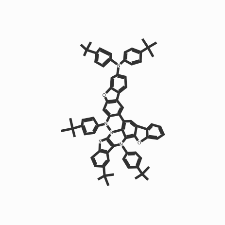 CC(C)(C)c1ccc(N2B3c4sc5ccc(C(C)(C)C)cc5c4N(c4ccc(C(C)(C)C)cc4)c4c3c(cc3c4oc4ccccc43)-c3cc4c(cc32)oc2cc(N(c3ccc(C(C)(C)C)cc3)c3ccc(C(C)(C)C)cc3)ccc24)cc1